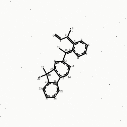 C=C/C(I)=c1/cccc/c1=C(/C)c1ccc2c(c1)C(C)(C)c1ccccc1-2